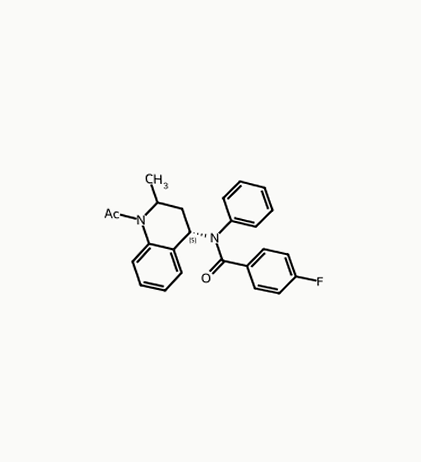 CC(=O)N1c2ccccc2[C@@H](N(C(=O)c2ccc(F)cc2)c2ccccc2)CC1C